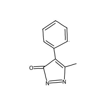 CC1=C(c2[c]cccc2)C(=O)N=N1